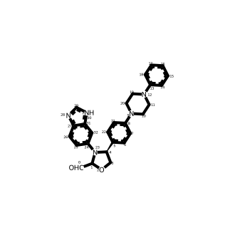 O=CC1OC[C@H](c2ccc(N3CCN(c4ccccc4)CC3)cc2)N1c1ccc2nc[nH]c2c1